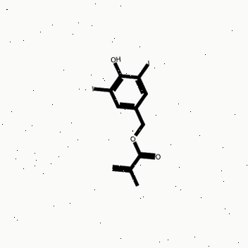 C=C(C)C(=O)OCc1cc(I)c(O)c(I)c1